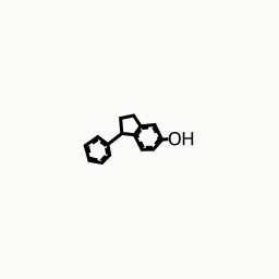 Oc1ccc2c(c1)CCC2c1ccccc1